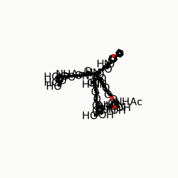 CC(=O)NC1C(OCCOCCOCCNC(=O)CCC(CCC(=O)NCCOCCOCCOC2OC(CO)C(O)C(O)C2NC(C)=O)(CCC(=O)NCCOCCOCCOC2OC(CO)C(O)C(O)C2NC(C)=O)NC(=O)CCCC(=O)NOC2CCCC(c3ccccc3)CC2)OC(CO)C(O)C1O